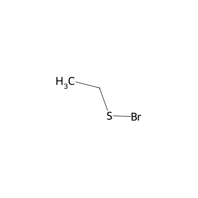 CCSBr